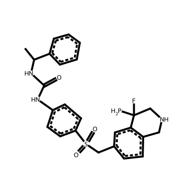 CC(NC(=O)Nc1ccc(S(=O)(=O)Cc2ccc3c(c2)C(F)(P)CNC3)cc1)c1ccccc1